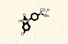 CC(C)(C)N(C(=O)O)C1CCC(n2c(=O)[nH]c3cc(Cl)ccc32)CC1